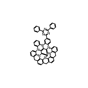 c1ccc(-c2nc(-c3ccccc3)nc(-c3ccc4c(c3)B3c5ccccc5-n5c6cccc7c6n6c8c9c%10c(c3c85)n-4c3cccc4c3n%10-c3c(ccc5c3B9c3c(ccc(c3-6)C7)C5)C4)n2)cc1